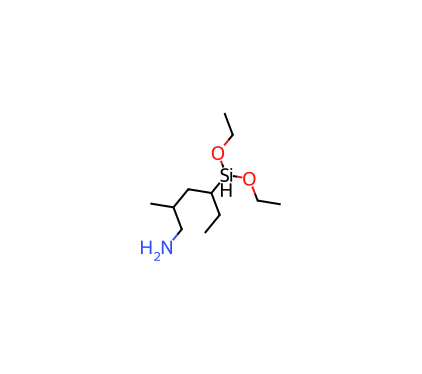 CCO[SiH](OCC)C(CC)CC(C)CN